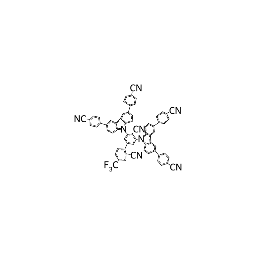 N#Cc1ccc(-c2ccc3c(c2)c2cc(-c4ccc(C#N)cc4)ccc2n3-c2cc(-c3ccc(C(F)(F)F)cc3C#N)cc(-n3c4ccc(-c5ccc(C#N)cc5)cc4c4cc(-c5ccc(C#N)cc5)ccc43)c2C#N)cc1